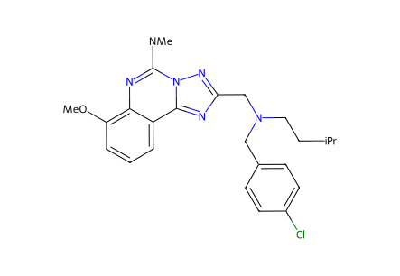 CNc1nc2c(OC)cccc2c2nc(CN(CCC(C)C)Cc3ccc(Cl)cc3)nn12